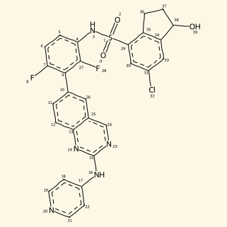 O=S(=O)(Nc1ccc(F)c(-c2ccc3nc(Nc4ccncc4)ncc3c2)c1F)c1cc(Cl)cc2c1CCC2O